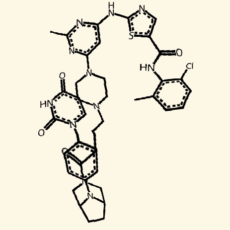 Cc1nc(Nc2ncc(C(=O)Nc3c(C)cccc3Cl)s2)cc(N2CCN(CCCC(=O)N3CC4CCC(C3)N4c3ccc(-n4ccc(=O)[nH]c4=O)cc3)CC2)n1